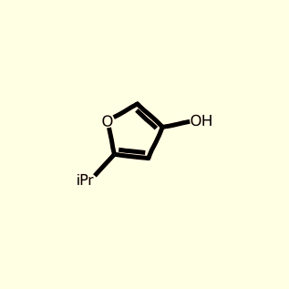 CC(C)c1cc(O)co1